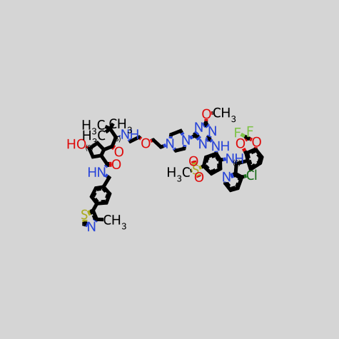 COc1nc(Nc2cc(S(C)(=O)=O)ccc2N[C@@H](c2cccc3c2OC(F)(F)O3)c2ncccc2Cl)nc(N2CCN(CCOCCN[C@H](C(=O)C3C[C@H](O)CC3C(=O)NCc3ccc(-c4scnc4C)cc3)C(C)(C)C)CC2)n1